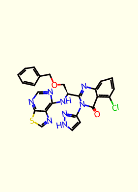 O=c1c2c(Cl)cccc2nc([C@H](COCc2ccccc2)Nc2ncnc3scnc23)n1-c1cc[nH]n1